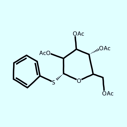 CC(=O)OCC1O[C@H](Sc2ccccc2)C(OC(C)=O)C(OC(C)=O)[C@@H]1OC(C)=O